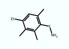 CCc1cc(C)c(SN)c(C)c1C